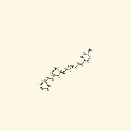 Brc1ccc(C=CCNCCOc2cncc(C=Cc3ccncc3)c2)cc1